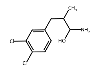 CC(Cc1ccc(Cl)c(Cl)c1)C(N)O